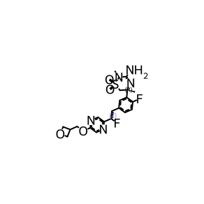 CN1C(N)=N[C@](C)(c2cc(/C=C(\F)c3cnc(OCC4COC4)cn3)ccc2F)CS1(=O)=O